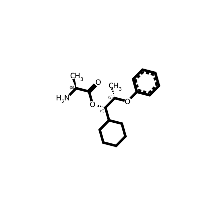 C[C@H](N)C(=O)O[C@@H](C1CCCCC1)[C@H](C)Oc1ccccc1